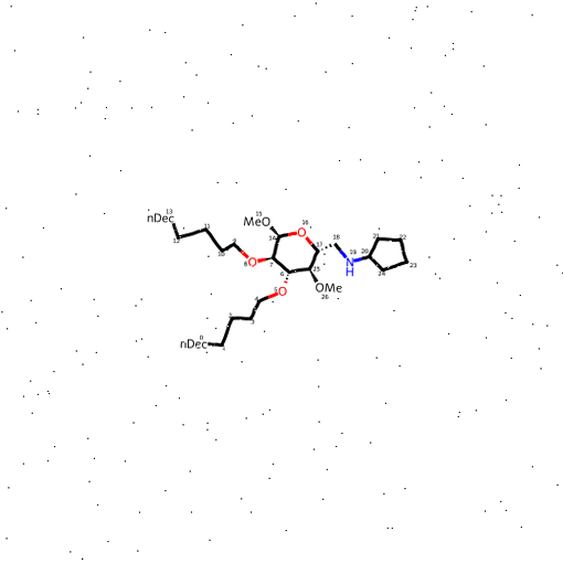 CCCCCCCCCCCCCCO[C@@H]1[C@@H](OCCCCCCCCCCCCCC)[C@@H](OC)O[C@H](CNC2CCCC2)[C@H]1OC